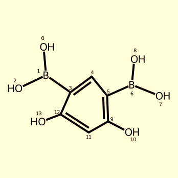 OB(O)c1cc(B(O)O)c(O)cc1O